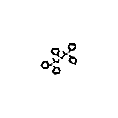 CC(CP(CC(C)P(c1ccccc1)c1ccccc1)c1ccccc1)P(c1ccccc1)c1ccccc1